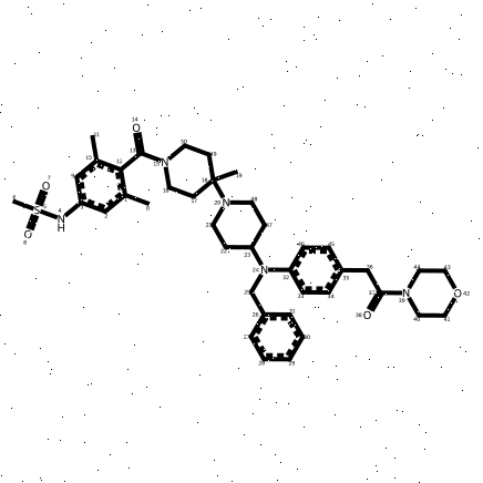 Cc1cc(NS(C)(=O)=O)cc(C)c1C(=O)N1CCC(C)(N2CCC(N(Cc3ccccc3)c3ccc(CC(=O)N4CCOCC4)cc3)CC2)CC1